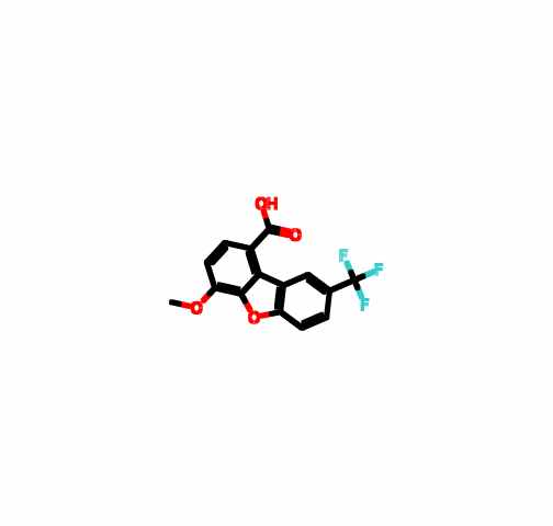 COc1ccc(C(=O)O)c2c1oc1ccc(C(F)(F)F)cc12